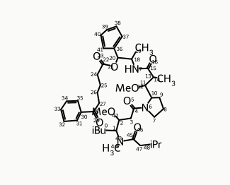 CCC(C)C(C(CC(=O)N1CCCC1C(OC)C(C)C(=O)NC(C)C(OC(=O)CCCCC(=O)c1ccccc1)c1ccccc1)OC)N(C)C(=O)CC(C)C